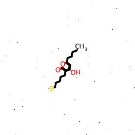 CCCCCc1cc(O)c(CCCCC[S])c(=O)o1